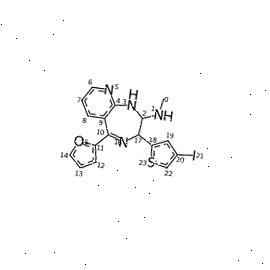 CNC1Nc2ncccc2C(c2ccco2)=NC1c1cc(I)cs1